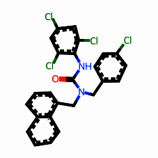 O=C(Nc1c(Cl)cc(Cl)cc1Cl)N(Cc1ccc(Cl)cc1)Cc1cccc2ccccc12